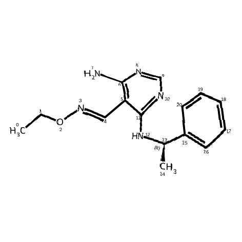 CCON=Cc1c(N)ncnc1N[C@H](C)c1ccccc1